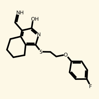 N=Cc1c(O)nc(SCCOc2ccc(F)cc2)c2c1CCCC2